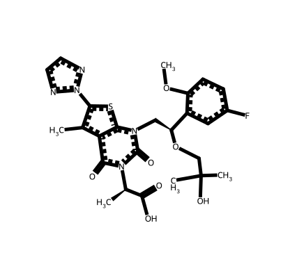 COc1ccc(F)cc1[C@H](Cn1c(=O)n([C@H](C)C(=O)O)c(=O)c2c(C)c(-n3nccn3)sc21)OCC(C)(C)O